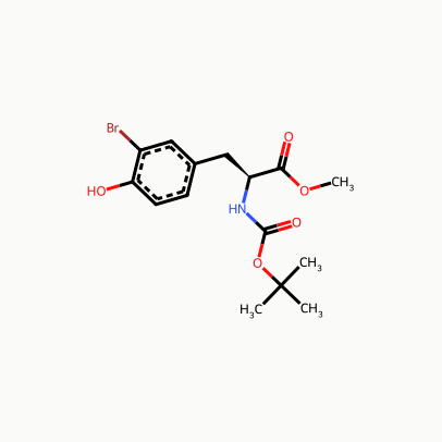 COC(=O)[C@H](Cc1ccc(O)c(Br)c1)NC(=O)OC(C)(C)C